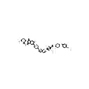 N#Cc1ccc(O[C@H]2CC[C@H](NC(=O)c3cnc(N4CCC5(CCN(C6CCN(c7cc8c(cc7F)C(=O)N(C7CCC(=O)NC7=O)C8=O)CC6)C5)C4)cn3)CC2)cc1Cl